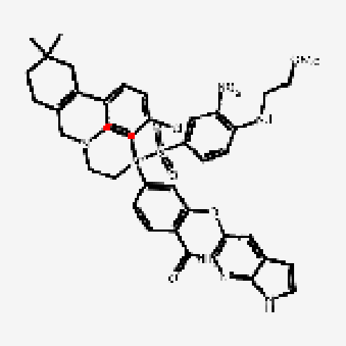 COCCNc1ccc(S(=O)(=O)[N+]2(c3ccc(C(N)=O)c(Oc4cnc5[nH]ccc5c4)c3)CCN(CC3=C(c4ccc(Cl)cc4)CC(C)(C)CC3)CC2)cc1[N+](=O)[O-]